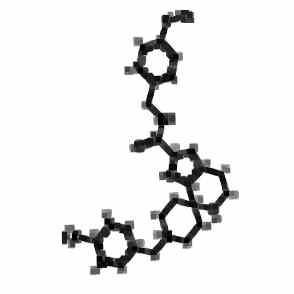 CCSc1ccc(CNC(=O)c2cc3c(s2)C2(CCN(Cc4cnc(C(F)(F)F)nc4)CC2)OCC3)nc1